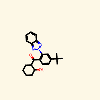 CC(C)(C)c1ccc(C(=O)C2CCCCC2O)c(-n2nc3ccccc3n2)c1